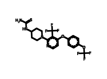 NC(=S)NC1CCN(c2nccc(Oc3ccc(OC(F)(F)F)cc3)c2C(F)(F)F)CC1